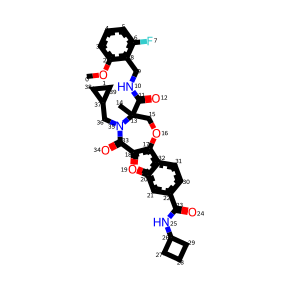 COc1cccc(F)c1CNC(=O)C1(C)COc2c(oc3cc(C(=O)NC4CCC4)ccc23)C(=O)N1CC1CC1